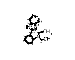 CCN(CC)c1ccccc1-c1nc2cnncc2[nH]1